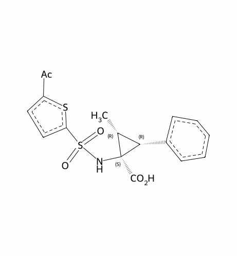 CC(=O)c1ccc(S(=O)(=O)N[C@@]2(C(=O)O)[C@H](C)[C@@H]2c2ccccc2)s1